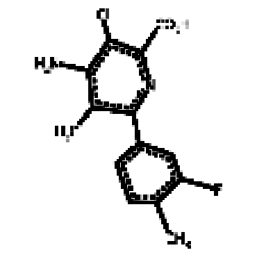 Cc1ccc(-c2nc(C(=O)O)c(Cl)c(N)c2C)cc1F